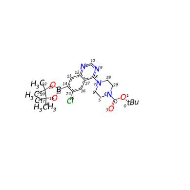 CC(C)(C)OC(=O)N1CCN(c2ncnc3cc(B4OC(C)(C)C(C)(C)O4)c(Cl)cc23)CC1